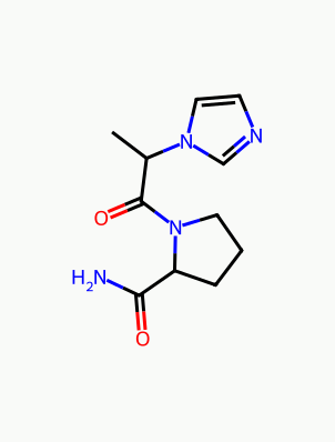 CC(C(=O)N1CCCC1C(N)=O)n1ccnc1